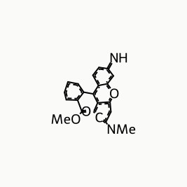 CNc1ccc2c(-c3ccccc3C(=O)OC)c3ccc(=N)cc-3oc2c1